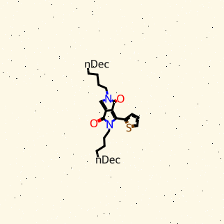 CCCCCCCCCCCCCCN1C=C2C(=O)N(CCCCCCCCCCCCCC)C(c3cccs3)=C2C1=O